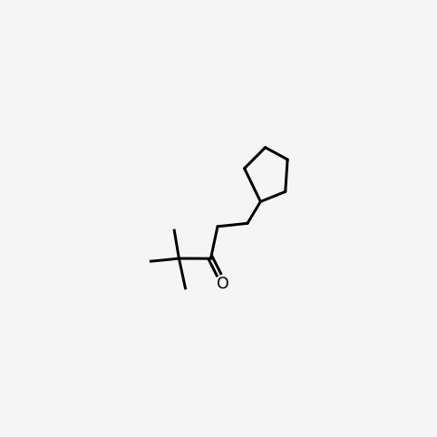 CC(C)(C)C(=O)CCC1CCCC1